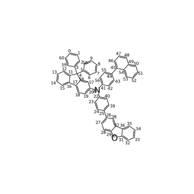 c1ccc(C2(c3ccccc3)c3ccccc3-c3ccc(N(c4ccc(-c5ccc6oc7ccccc7c6c5)cc4)c4ccc(-c5cccc6ccccc56)cc4)cc32)cc1